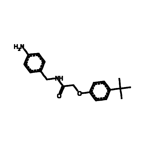 CC(C)(C)c1ccc(OCC(=O)NCc2ccc(N)cc2)cc1